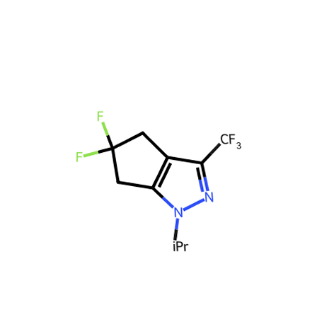 CC(C)n1nc(C(F)(F)F)c2c1CC(F)(F)C2